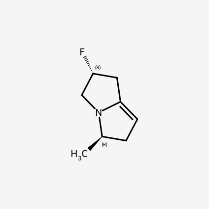 C[C@@H]1CC=C2C[C@@H](F)CN21